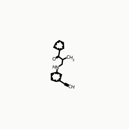 C#Cc1cccc(NCC(C)C(=O)c2ccccc2)c1